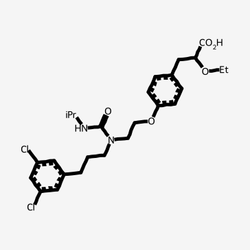 CCOC(Cc1ccc(OCCN(CCCc2cc(Cl)cc(Cl)c2)C(=O)NC(C)C)cc1)C(=O)O